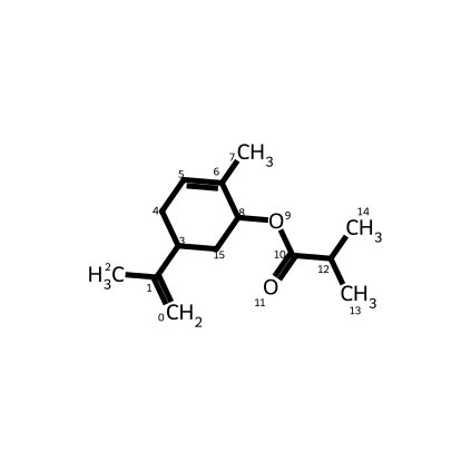 C=C(C)C1CC=C(C)C(OC(=O)C(C)C)C1